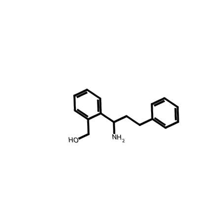 NC(CCc1ccccc1)c1ccccc1CO